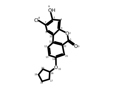 O=c1oc2cc(O)c(Cl)cc2c2ccc(OC3CCCC3)cc12